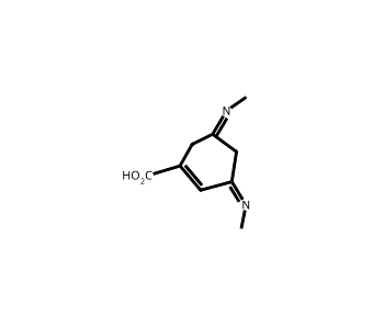 CN=C1C=C(C(=O)O)CC(=NC)C1